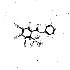 O=C(Oc1ccccc1)c1c(F)c(F)c(F)c(F)c1S(=O)(=O)O